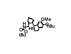 CCCCOc1cc2c(cc1OC)C(c1ccccc1CNC(=O)OC(C)(C)C)NCC2